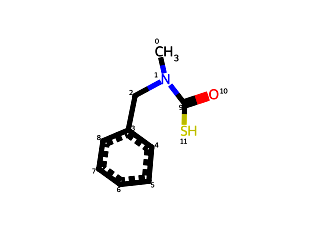 CN(Cc1ccccc1)C(=O)S